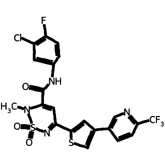 CN1C(C(=O)Nc2ccc(F)c(Cl)c2)=CC(c2cc(-c3ccc(C(F)(F)F)nc3)cs2)=NS1(=O)=O